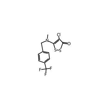 CN(Cc1ccc(C(F)(F)F)cc1)c1ssc(=O)c1Cl